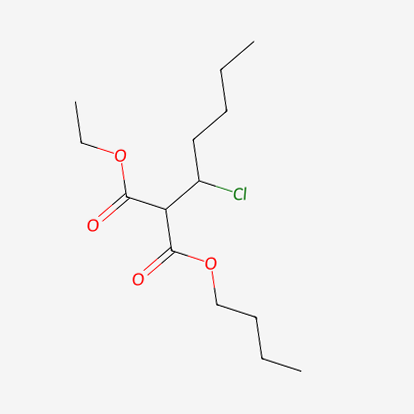 CCCCOC(=O)C(C(=O)OCC)C(Cl)CCCC